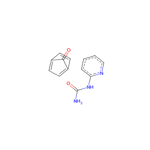 NC(=O)Nc1ccccn1.O=C1C2=CC=C1C=C2